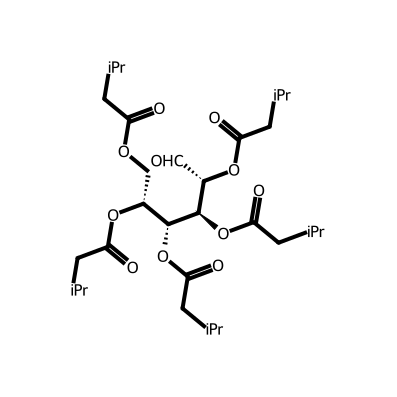 CC(C)CC(=O)OC[C@@H](OC(=O)CC(C)C)[C@@H](OC(=O)CC(C)C)[C@H](OC(=O)CC(C)C)[C@H](C=O)OC(=O)CC(C)C